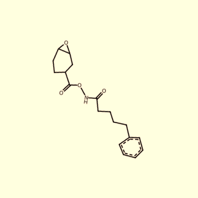 O=C(CCCCc1ccccc1)NOC(=O)C1CCC2OC2C1